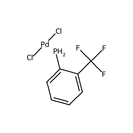 FC(F)(F)c1ccccc1P.[Cl][Pd][Cl]